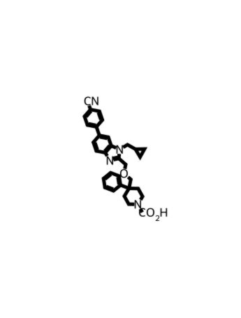 N#Cc1ccc(-c2ccc3nc(COCC4(c5ccccc5)CCN(C(=O)O)CC4)n(CC4CC4)c3c2)cc1